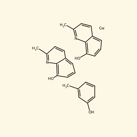 Cc1ccc2cccc(O)c2n1.Cc1ccc2cccc(O)c2n1.Cc1cccc(O)c1.[Ga]